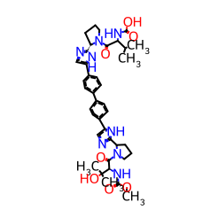 COC(=O)N[C@H](C(=O)N1CCCC1c1ncc(-c2ccc(-c3ccc(-c4cnc([C@@H]5CCCN5C(=O)[C@@H](NC(=O)O)C(C)C)[nH]4)cc3)cc2)[nH]1)C(C)(C)O